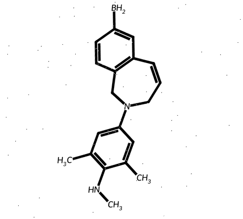 Bc1ccc2c(c1)C=CCN(c1cc(C)c(NC)c(C)c1)C2